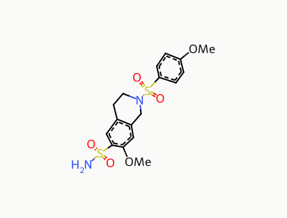 COc1ccc(S(=O)(=O)N2CCc3cc(S(N)(=O)=O)c(OC)cc3C2)cc1